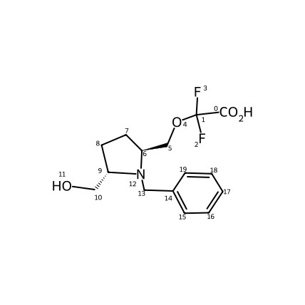 O=C(O)C(F)(F)OC[C@@H]1CC[C@@H](CO)N1Cc1ccccc1